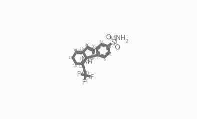 NS(=O)(=O)c1ccc(N2NC(C(F)(F)F)=C3CCC=C4C=CSC432)cc1